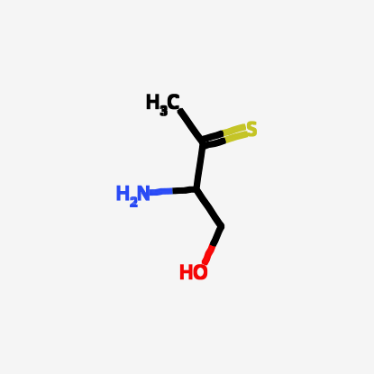 CC(=S)C(N)CO